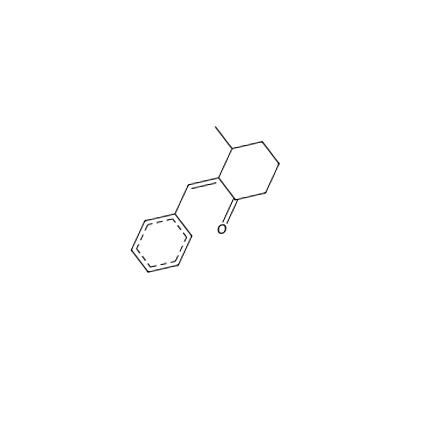 CC1CCCC(=O)C1=Cc1ccccc1